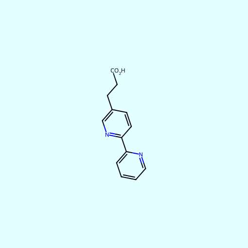 O=C(O)CCc1ccc(-c2ccccn2)nc1